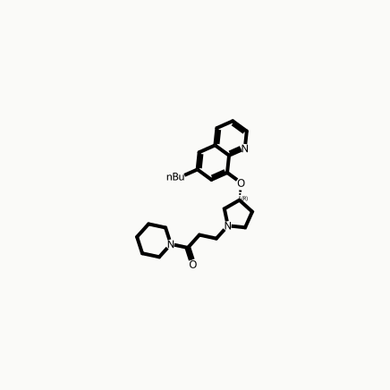 CCCCc1cc(O[C@@H]2CCN(CCC(=O)N3CCCCC3)C2)c2ncccc2c1